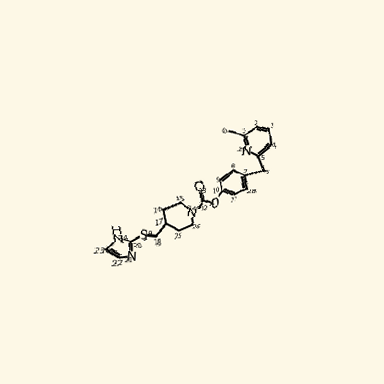 Cc1cccc(Cc2ccc(OC(=O)N3CCC(CSc4ncc[nH]4)CC3)cc2)n1